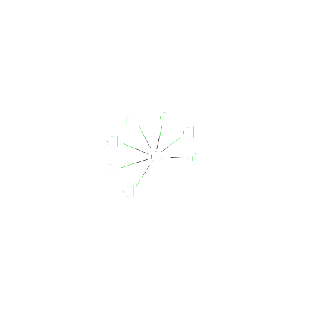 [Cl][Co]([Cl])([Cl])([Cl])([Cl])([Cl])[Cl]